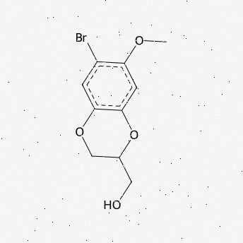 COc1cc2c(cc1Br)OCC(CO)O2